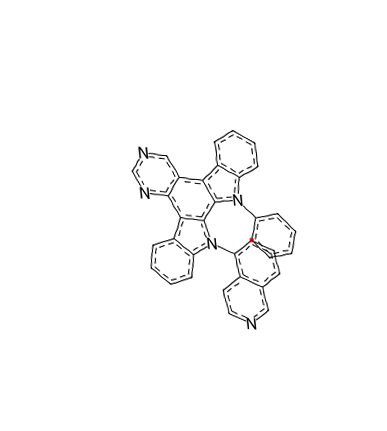 c1ccc(-n2c3ccccc3c3c4cncnc4c4c5ccccc5n(-c5cccc6cnccc56)c4c32)cc1